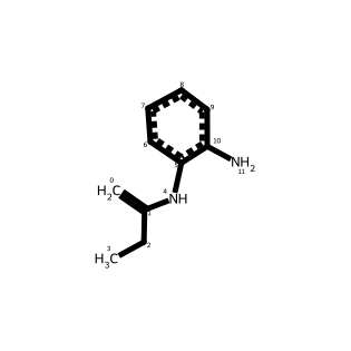 C=C(CC)Nc1ccccc1N